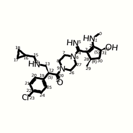 CNC1=C(C(=N)N2CCN(C(=O)[C@H](CNCC3CC3)c3ccc(Cl)cc3)CC2)[C@H](C)C[C@@H]1O